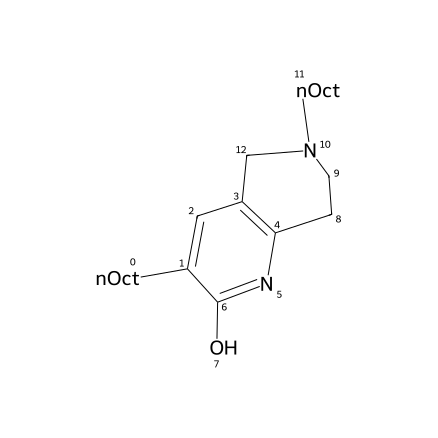 CCCCCCCCc1cc2c(nc1O)CCN(CCCCCCCC)C2